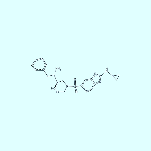 CC(C)CN(C[C@@H](O)[C@@H](N)Cc1ccccc1)S(=O)(=O)c1ccc2nc(NC3CC3)sc2c1